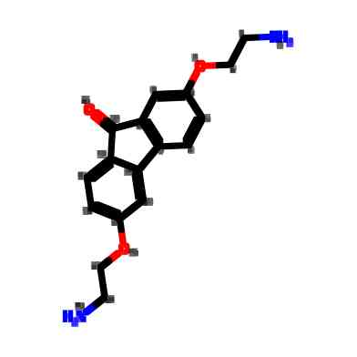 NCCOc1ccc2c(c1)C(=O)c1ccc(OCCN)cc1-2